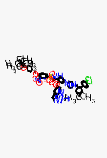 CC1(C)CCC(CN2CCN(c3ccc(C(=O)NS(=O)(=O)c4ccc(OC[C@H]5CC[C@H](O[Si](C)(C)C(C)(C)C)CC5)c([N+](=O)[O-])c4)c(Oc4cnc5[nH]ccc5c4)c3)CC2)=C(c2ccc(Cl)cc2)C1